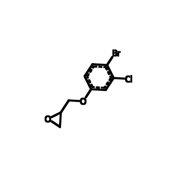 Clc1cc(OCC2CO2)ccc1Br